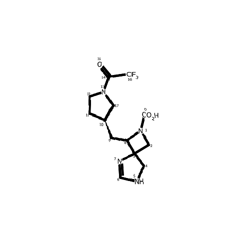 O=C(O)N1CC2(CNC=N2)C1C[C@H]1CCN(C(=O)C(F)(F)F)C1